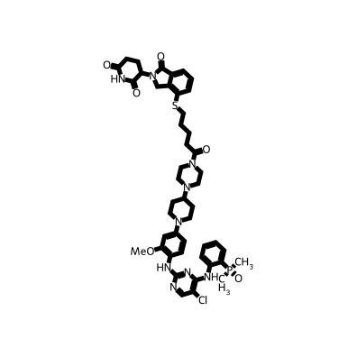 COc1cc(N2CCC(N3CCN(C(=O)CCCCSc4cccc5c4CN(C4CCC(=O)NC4=O)C5=O)CC3)CC2)ccc1Nc1ncc(Cl)c(Nc2ccccc2P(C)(C)=O)n1